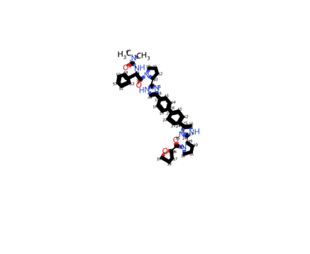 CN(C)C(=O)N[C@@H](C(=O)N1CCC[C@H]1c1nc(-c2ccc(-c3ccc(-c4c[nH]c([C@@H]5CCCN5C(=O)[C@H]5CCCO5)n4)cc3)cc2)c[nH]1)c1ccccc1